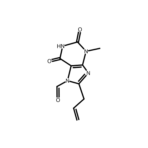 C=CCc1nc2c(c(=O)[nH]c(=O)n2C)n1C=O